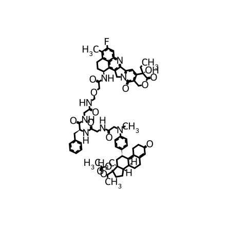 CC[C@@]1(O)C(=O)OCc2c1cc1n(c2=O)Cc2c-1nc1cc(F)c(C)c3c1c2[C@@H](NC(=O)COCNC(=O)CNC(=O)[C@H](Cc1ccccc1)NC(=O)CNC(=O)CN(C)c1ccc([C@H]2C[C@@]4(C)[C@@H](CC[C@]4(OC(C)=O)C(C)=O)[C@@H]4CCC5=CC(=O)CCC5=C42)cc1)CC3